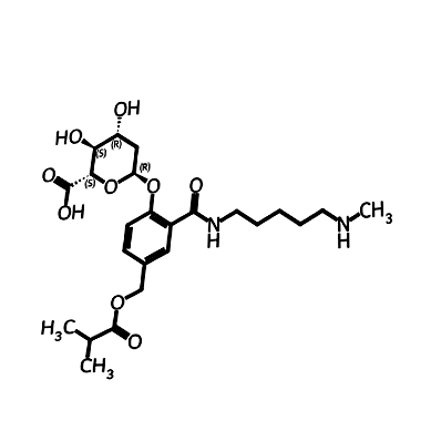 CNCCCCCNC(=O)c1cc(COC(=O)C(C)C)ccc1O[C@@H]1C[C@@H](O)[C@H](O)[C@@H](C(=O)O)O1